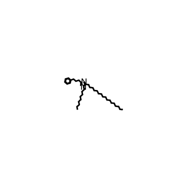 CCCCCCCCCCCCCCCCCc1nc(CCCc2ccccc2)cn1CCCCCCCCC